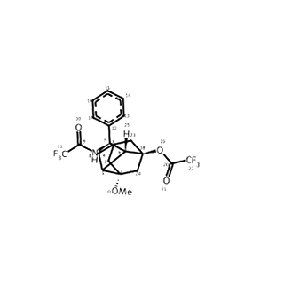 CO[C@@]12CC3CC1[C@H]([C@@H](NC(=O)C(F)(F)F)c1ccccc1)[C@](OC(=O)C(F)(F)F)(C3)C2